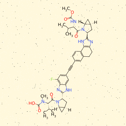 COC(=O)N[C@H](C(=O)N1[C@@H]2C[C@H]2C[C@H]1c1nc2c([nH]1)-c1ccc(C#Cc3cc(F)c4nc([C@@H]5C[C@H]6C[C@H]6N5C(=O)[C@H](C(C)C)N(C)C(=O)O)[nH]c4c3)cc1CC2)C(C)C